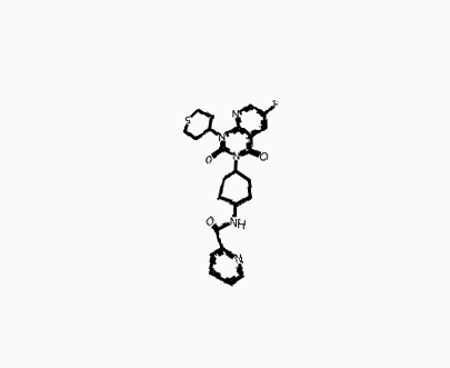 O=C(NC1CCC(n2c(=O)c3cc(F)cnc3n(C3CCSCC3)c2=O)CC1)c1ccccn1